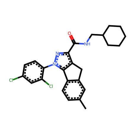 Cc1ccc2c(c1)Cc1c(C(=O)NCC3CCCCC3)nn(-c3ccc(Cl)cc3Cl)c1-2